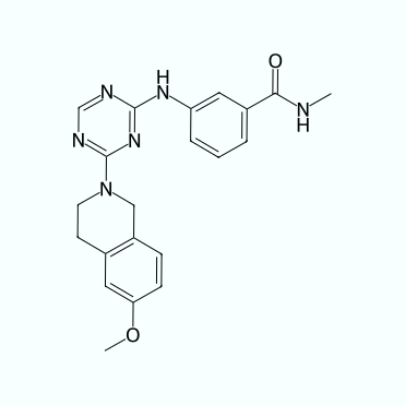 CNC(=O)c1cccc(Nc2ncnc(N3CCc4cc(OC)ccc4C3)n2)c1